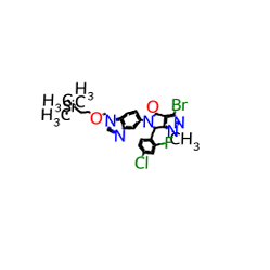 Cn1nc(Br)c2c1C(c1ccc(Cl)cc1F)N(c1ccc3c(c1)ncn3COCC[Si](C)(C)C)C2=O